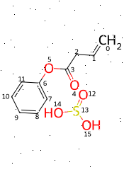 C=CCC(=O)Oc1ccccc1.O=S(O)O